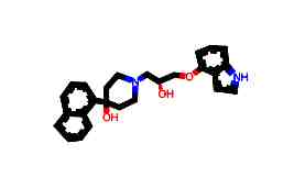 O[C@H](COc1cccc2[nH]ccc12)CN1CCC(O)(c2cccc3ccccc23)CC1